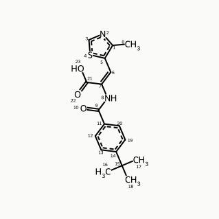 Cc1ncsc1C=C(NC(=O)c1ccc(C(C)(C)C)cc1)C(=O)O